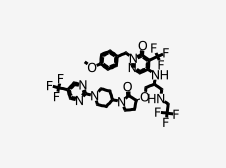 COc1ccc(Cn2ncc(NC(CNCC(F)(F)F)CO[C@@H]3CCN(C4CCN(c5ncc(C(F)(F)F)cn5)CC4)C3=O)c(C(F)(F)F)c2=O)cc1